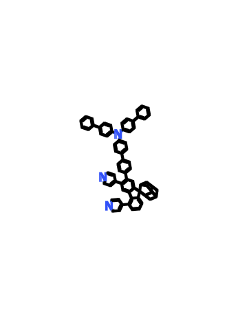 c1ccc(-c2ccc(N(c3ccc(-c4ccccc4)cc3)c3ccc(-c4ccc(-c5cc6c(cc5-c5ccncc5)-c5c(-c7ccncc7)cccc5C65C6CC7CC(C6)CC5C7)cc4)cc3)cc2)cc1